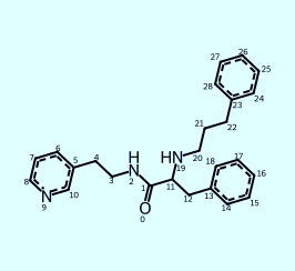 O=C(NCCc1cccnc1)C(Cc1ccccc1)NCCCc1ccccc1